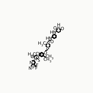 CC(C)c1cc(N2C(=S)N(c3cnc(C#N)c(C(F)(F)F)c3)C(=O)C2(C)C)ccc1OCCN1CCN(CC(=O)Nc2cccc(NC3CCC(=O)NC3=O)c2)[C@H](C)C1